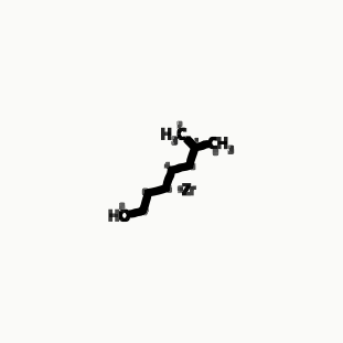 CC(C)CCCCCO.[Zr]